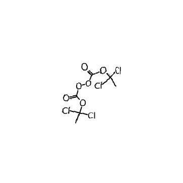 CC(Cl)(Cl)OC(=O)OOC(=O)OC(C)(Cl)Cl